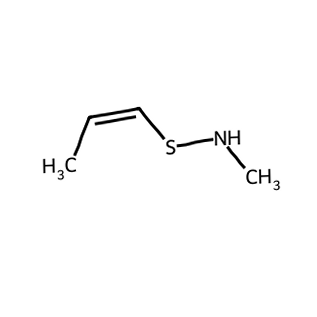 C/C=C\SNC